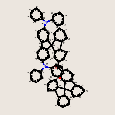 O=C(c1ccc2c(c1)C1(c3ccccc3-c3ccccc31)c1ccccc1-2)c1ccc2c(c1)C1(c3ccccc3-2)c2cc(N(c3ccccc3)c3ccccc3)ccc2-c2ccc(N(c3ccccc3)c3ccccc3)cc21